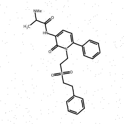 CNC(C)C(=O)Nc1ccc(-c2ccccc2)n(CCS(=O)(=O)CCc2ccccc2)c1=O